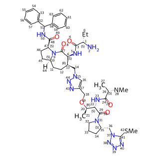 CC[C@H](N)C(=O)N[C@@H]1C(=O)N2[C@@H](CC[C@@H]1Cn1cc(CO[C@H](C)[C@H](NC(=O)[C@H](C)NC)C(=O)N3CCC[C@H]3Cn3nnnc3SC)nn1)CC[C@H]2C(=O)NC(c1ccccc1)c1ccccc1